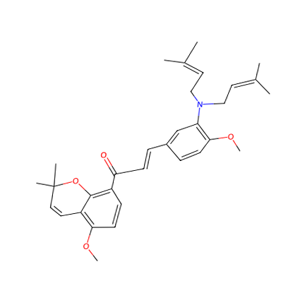 COc1ccc(C=CC(=O)c2ccc(OC)c3c2OC(C)(C)C=C3)cc1N(CC=C(C)C)CC=C(C)C